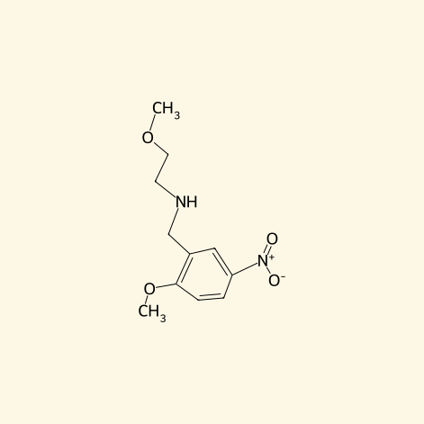 COCCNCc1cc([N+](=O)[O-])ccc1OC